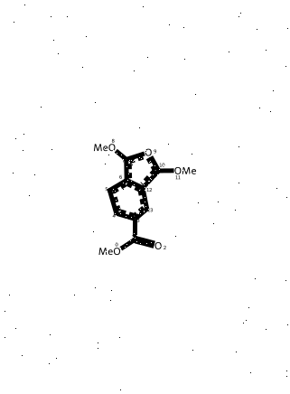 COC(=O)c1ccc2c(OC)oc(OC)c2c1